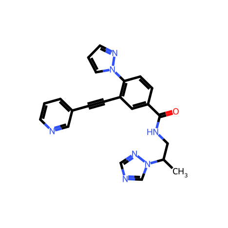 CC(CNC(=O)c1ccc(-n2cccn2)c(C#Cc2cccnc2)c1)n1cncn1